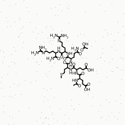 CC(=O)O.CSCCC(NC(=O)C(CCC(=O)O)NC(=O)C(CCC(=O)O)NC(C)=O)C(=O)NC(CCC(N)=O)C(=O)NC(CCCN=C(N)N)C(=O)NC(CCCN=C(N)N)C(N)=O